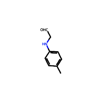 Cc1ccc(NCC=O)cc1